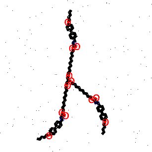 CCCCCOc1ccc(-c2ccc(/C=C/C(=O)OCCCCCCCCCCOCC(COCCCCCCCCCCOC(=O)/C=C/c3ccc(-c4ccc(OCCCCC)cc4)cc3)OCCCCCCCCCCOC(=O)/C=C/c3ccc(-c4ccc(OCCCCC)cc4)cc3)cc2)cc1